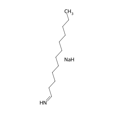 CCCCCCCCCCCC=N.[NaH]